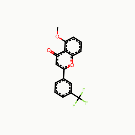 COc1cccc2oc(-c3cccc(C(F)(F)F)c3)cc(=O)c12